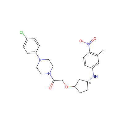 Cc1cc(N[C@@H]2CCC(OCC(=O)N3CCN(c4ccc(Cl)cc4)CC3)C2)ccc1[N+](=O)[O-]